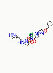 CC1(C)C[C@@H](CCCNc2cccc(S(=O)(=O)NC(=O)c3ccc(-n4ccc(OCCC5CCCCCC5)n4)nc3Cl)n2)CN1